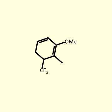 COC1=C(C)C(C(F)(F)F)CC=C1